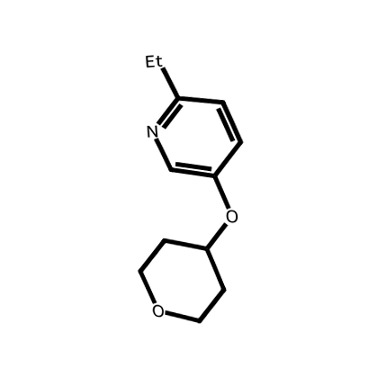 CCc1ccc(OC2CCOCC2)cn1